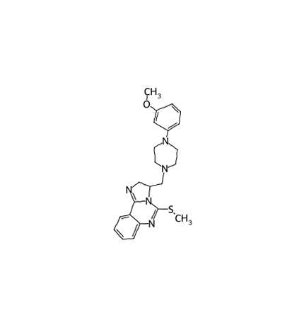 COc1cccc(N2CCN(CC3CN=C4c5ccccc5N=C(SC)N43)CC2)c1